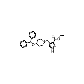 CCOC(=O)c1n[nH]cc1CN1CCC(OC(c2ccccc2)c2ccccc2)CC1